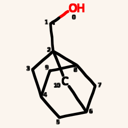 O[CH]C12CC3CC(CC1C3)C2